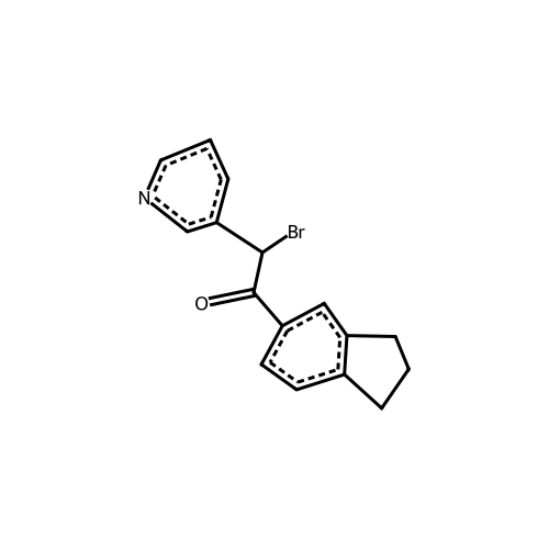 O=C(c1ccc2c(c1)CCC2)C(Br)c1cccnc1